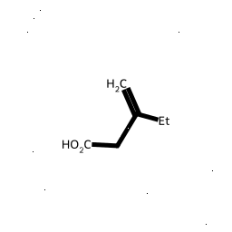 C=C(CC)CC(=O)O